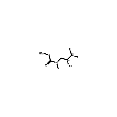 C[C@H](F)[C@@H](O)CN(C)C(=O)OC(C)(C)C